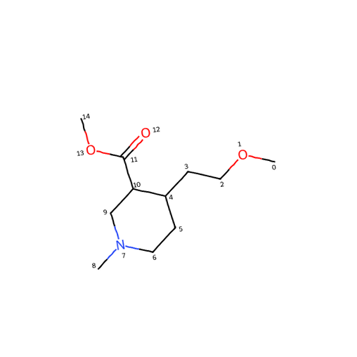 COCCC1CCN(C)CC1C(=O)OC